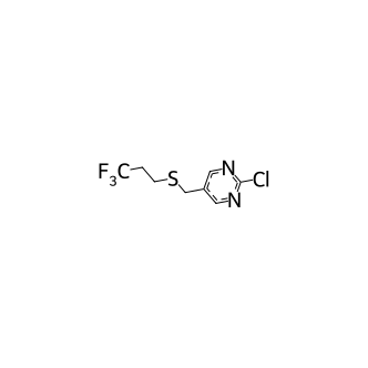 FC(F)(F)CCSCc1cnc(Cl)nc1